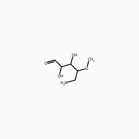 COC(CN)C(O)C(O)C=O